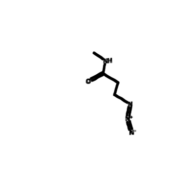 CNC(=O)CCN=[N+]=[N-]